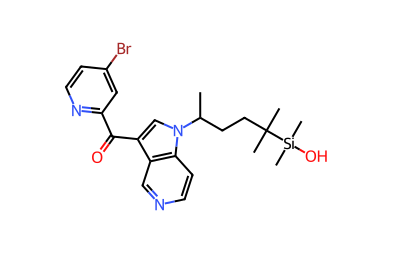 CC(CCC(C)(C)[Si](C)(C)O)n1cc(C(=O)c2cc(Br)ccn2)c2cnccc21